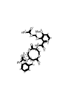 CCCC(=O)OCOc1c(OC)ccnc1C(=O)N[C@H]1COC(=O)[C@H](Cc2ccccc2)[C@@H](OC(=O)C(C)C)[C@H](C)OC1=O